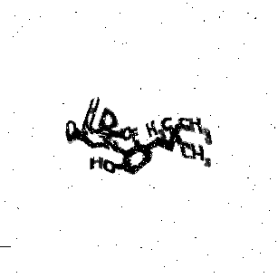 CC(C)(C)/C=C/c1ccc(O)c(N2CC(=O)NS2(=O)=O)c1F